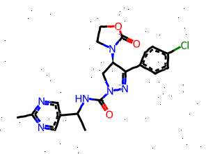 Cc1ncc(C(C)NC(=O)N2C[C@@H](N3CCOC3=O)C(c3ccc(Cl)cc3)=N2)cn1